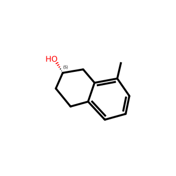 Cc1cccc2c1C[C@@H](O)CC2